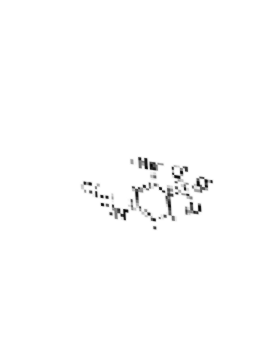 O=C=Nc1ccc(S(=O)(=O)[O-])cc1.[Na+]